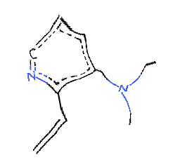 C=Cc1ncccc1N(C)C